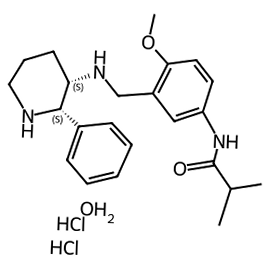 COc1ccc(NC(=O)C(C)C)cc1CN[C@H]1CCCN[C@H]1c1ccccc1.Cl.Cl.O